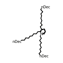 CCCCCCCCCCCCCCCCCCCc1ccc[n+](CCCCCCCCCCCCCCCCCCC)c1CCCCCCCCCCCCCCCCCCC